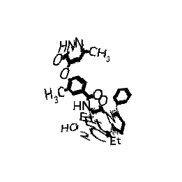 CC[C@@H](NC(=O)c1ccc(Oc2cc(C)n[nH]c2=O)c(C)c1)C(=O)N1[C@H](c2ccccc2)CC[C@@H]1C(CC)(CC)C(=O)O